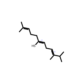 CC(C)=CCC/C(S)=C/C/C=C(\C)C(C)C